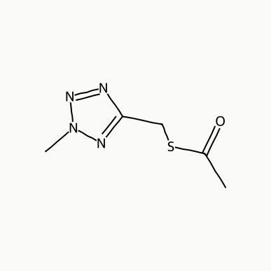 CC(=O)SCc1nnn(C)n1